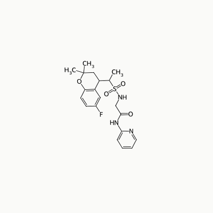 CC(C1CC(C)(C)Oc2ccc(F)cc21)S(=O)(=O)NCC(=O)Nc1ccccn1